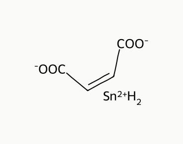 O=C([O-])/C=C\C(=O)[O-].[SnH2+2]